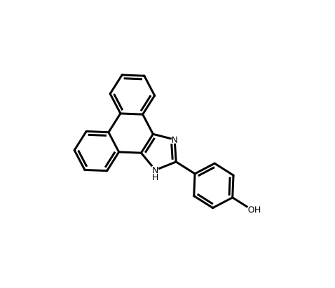 Oc1ccc(-c2nc3c4ccccc4c4ccccc4c3[nH]2)cc1